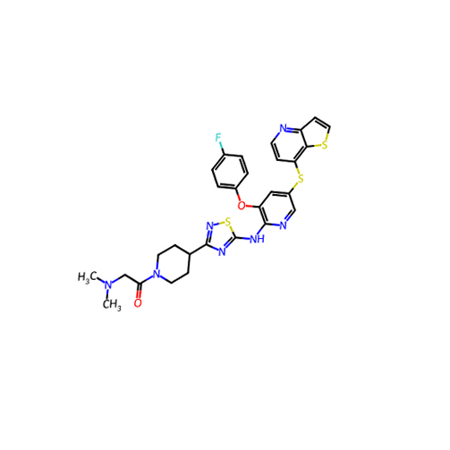 CN(C)CC(=O)N1CCC(c2nsc(Nc3ncc(Sc4ccnc5ccsc45)cc3Oc3ccc(F)cc3)n2)CC1